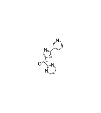 [O-][S+](c1ncccn1)c1cnc(-c2cccnc2)s1